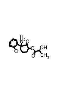 CC(O)C(=O)OC1CCCC(N)(c2ccccc2Cl)C1=O